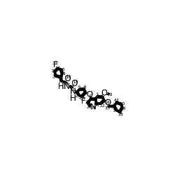 COc1cc2c(Oc3ccc(NC(=O)NC(=O)Cc4ccc(F)cc4)cc3F)ccnc2cc1OCc1ccccc1